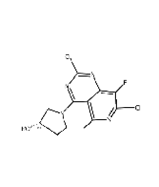 Cc1nc(Cl)c(F)c2nc(Cl)nc(N3CC[C@H](O)C3)c12